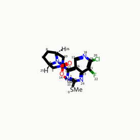 CSc1nc(N2C[C@H]3CC[C@@H](C2)N3C(=O)OC(C)(C)C)c2cnc(Cl)c(F)c2n1